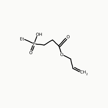 C=CCOC(=O)CCP(=O)(O)CC